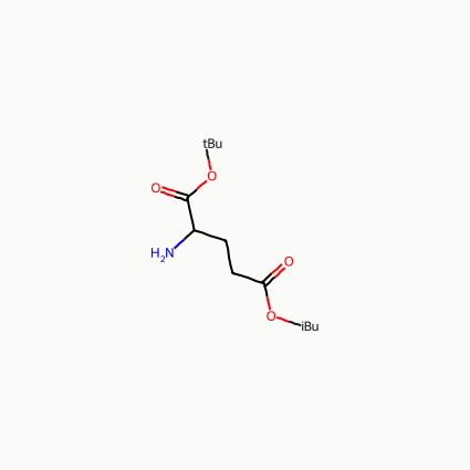 CCC(C)OC(=O)CCC(N)C(=O)OC(C)(C)C